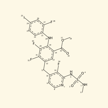 CNS(=O)(=O)Nc1nccc(Cc2cc(C(=O)OC)c(Nc3ccc(I)cc3F)c(F)c2F)c1F